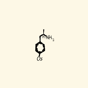 C[C@@H](N)Cc1cc[c]([Os])cc1